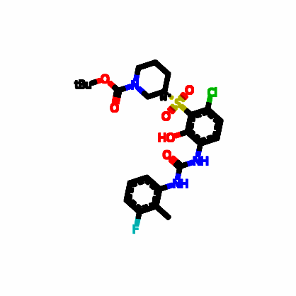 Cc1c(F)cccc1NC(=O)Nc1ccc(Cl)c(S(=O)(=O)[C@H]2CCCN(C(=O)OC(C)(C)C)C2)c1O